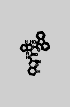 N#C[C@@H](C[C@H]1CCCNC1=O)NC(=O)[C@@H]1[C@H]2CCC[C@H]2CN1C(=O)C1(O)c2ccccc2-c2ccccc21